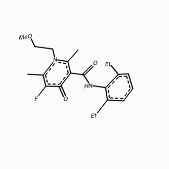 CCc1cccc(CC)c1NC(=O)c1c(C)n(CCOC)c(C)c(F)c1=O